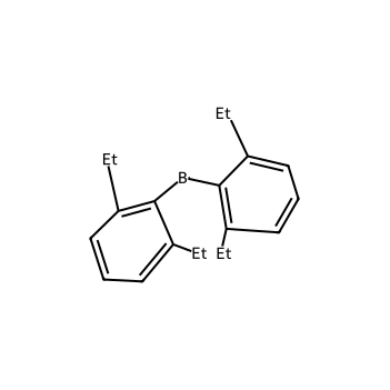 CCc1cccc(CC)c1[B]c1c(CC)cccc1CC